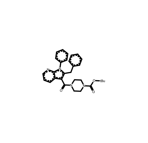 CC(C)(C)OC(=O)N1CCN(C(=O)c2c(Cc3ccccc3)n(-c3ccccc3)c3ncccc23)CC1